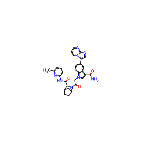 Cc1cccc(NC(=O)[C@@H]2C3CCC(C3)N2C(=O)Cn2cc(C(N)=O)c3cc(-c4cnc5ncccn45)ccc32)n1